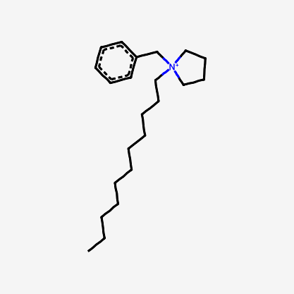 CCCCCCCCCCC[N+]1(Cc2ccccc2)CCCC1